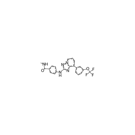 CNC(=O)c1ccc(Nc2nc3c(-c4cccc(OC(F)(F)F)c4)cccn3n2)cc1